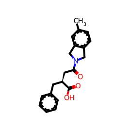 Cc1ccc2c(c1)CN(C(=O)C[C@H](Cc1ccccc1)C(=O)O)C2